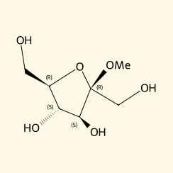 CO[C@]1(CO)O[C@H](CO)[C@@H](O)[C@@H]1O